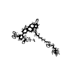 C[C@]12CC[C@@H]3c4ccc(-c5cc([N+](=O)[O-])ccc5OC(=O)O)cc4C[C@@H](CCCCCCCCC[S+]([O-])CCCC(F)(F)C(F)(F)F)[C@H]3[C@@H]1CCC2=O